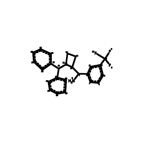 NC(c1cccc(C(F)(F)F)c1)C1CCN1C(c1ccccc1)c1ccccc1